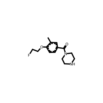 Cc1cc(C(=O)N2CCNCC2)ccc1OCCF